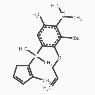 C=CCOc1c([Si](C)(C)C2=C(C)C=CC2)cc(C)c([SiH](C)C)c1C(C)(C)C